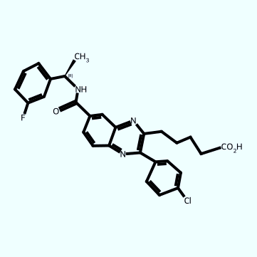 C[C@@H](NC(=O)c1ccc2nc(-c3ccc(Cl)cc3)c(CCCCC(=O)O)nc2c1)c1cccc(F)c1